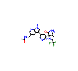 CC(=O)NCc1cnc2[nH]cc(-c3cncc([C@@](NCC(F)(F)F)(C(N)=O)C(C)C)c3)c2c1